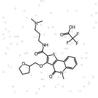 CN(C)CCCNC(=O)c1sc2c(c1OCC1CCCO1)c(=O)n(C)c1ccccc21.O=C(O)C(F)(F)F